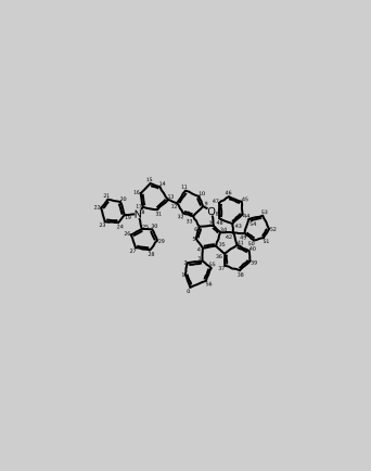 c1ccc(-c2cc3c(oc4ccc(-c5cccc(N(c6ccccc6)c6ccccc6)c5)cc43)c3c2-c2ccccc2C3(c2ccccc2)c2ccccc2)cc1